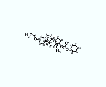 CCO[C@H]1C=C2CC[C@H]3[C@@H]4CC[C@H](OC(=O)Oc5ccccc5)[C@@]4(C)CC[C@@H]3[C@@]2(C)CC1